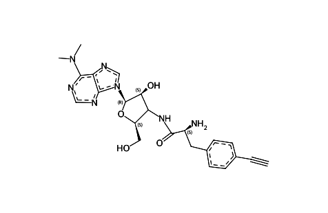 C#Cc1ccc(C[C@H](N)C(=O)NC2[C@@H](CO)O[C@@H](n3cnc4c(N(C)C)ncnc43)[C@H]2O)cc1